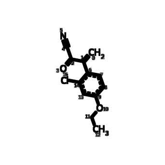 C=C(C(=O)C#N)c1ccc(OCC)cc1Cl